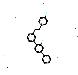 Fc1ccc(CCc2cc[c]c(-c3ccc(-c4ccccc4)cc3F)c2)cc1